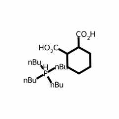 CCCC[PH](CCCC)(CCCC)CCCC.O=C(O)C1CCCCC1C(=O)O